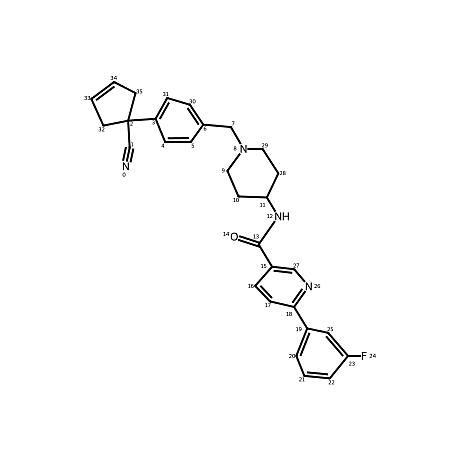 N#CC1(c2ccc(CN3CCC(NC(=O)c4ccc(-c5cccc(F)c5)nc4)CC3)cc2)CC=CC1